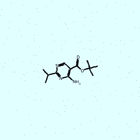 CC(C)c1ncc(C(=O)OC(C)(C)C)c(N)n1